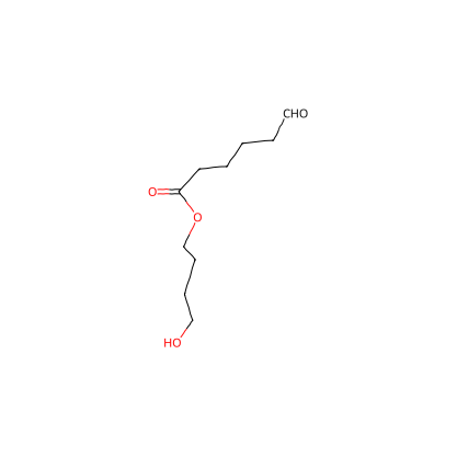 O=CCCCCC(=O)OCCCCO